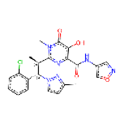 Cc1ccn([C@H](c2ccccc2Cl)[C@@H](C)c2nc(C(=O)Nc3cnoc3)c(O)c(=O)n2C)n1